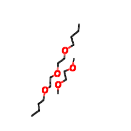 CCCCOCCOCCOCCCC.COCCOC